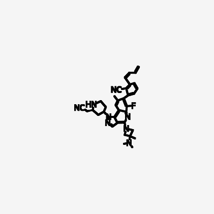 C=C/C=C\c1cccc(-c2c(C)cc3c(nc(N4CC(C)(N(C)C)C4)c4cnn(C5CCN[C@H](CC#N)C5)c43)c2F)c1C#N